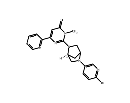 Cn1c(N2CC3C[C@H]2CN3c2ccc(Br)nc2)nc(-c2ccncn2)cc1=O